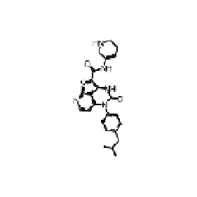 CC(C)Cc1ccc(N2C(=O)Nc3c(C(=O)NC4=CCCNC4)sc4nccc2c34)cc1